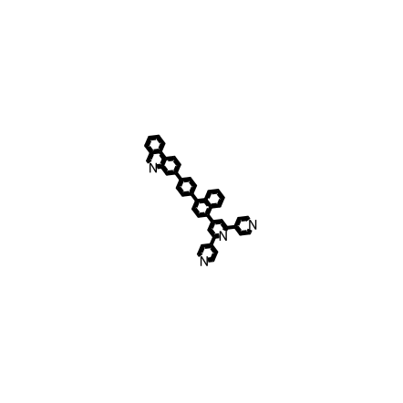 c1ccc2c(c1)cnc1cc(-c3ccc(-c4ccc(-c5cc(-c6ccncc6)nc(-c6ccncc6)c5)c5ccccc45)cc3)ccc12